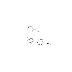 Cc1cc(F)c(Nc2c(-c3ccc(C#N)c(Cl)c3)c(C)nn2C)c([N+](=O)[O-])c1